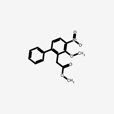 COC(=O)Cc1c(-c2ccccc2)ccc([N+](=O)[O-])c1OC